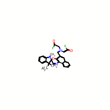 CN1c2ccccc2C(C)(C)C12C=Nc1c(c(CN(CC(=O)F)CC(=O)F)cc3ccccc13)O2